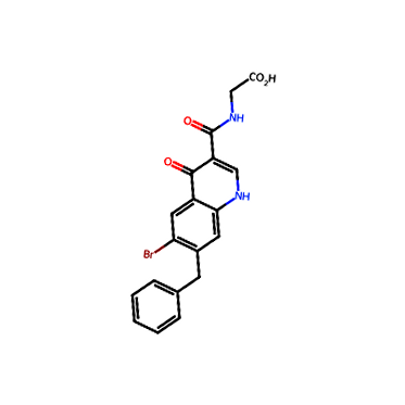 O=C(O)CNC(=O)c1c[nH]c2cc(Cc3ccccc3)c(Br)cc2c1=O